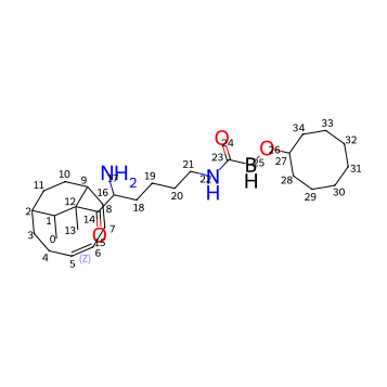 CC1C2CC/C=C\CCC(CC2)C1(C)C(=O)C(N)CCCCNC(=O)BOC1CCCCCCC1